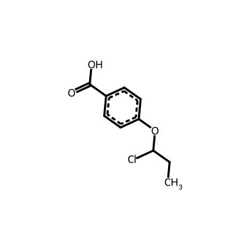 CCC(Cl)Oc1ccc(C(=O)O)cc1